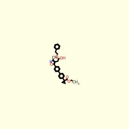 CCOC(=O)C1(c2ccc(-c3ccc(-c4onc(C)c4C[C@@H](O)OCCc4ccccc4)cc3)cc2)CC1